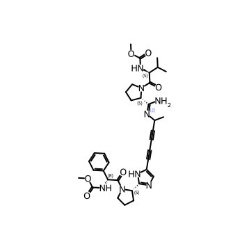 COC(=O)N[C@H](C(=O)N1CCC[C@H]1/C(N)=N/C(C)C#CC#Cc1cnc([C@@H]2CCCN2C(=O)[C@H](NC(=O)OC)c2ccccc2)[nH]1)C(C)C